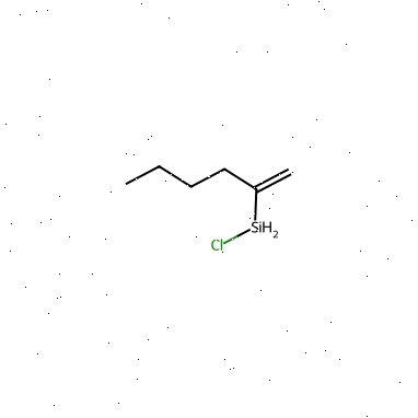 C=C(CCCC)[SiH2]Cl